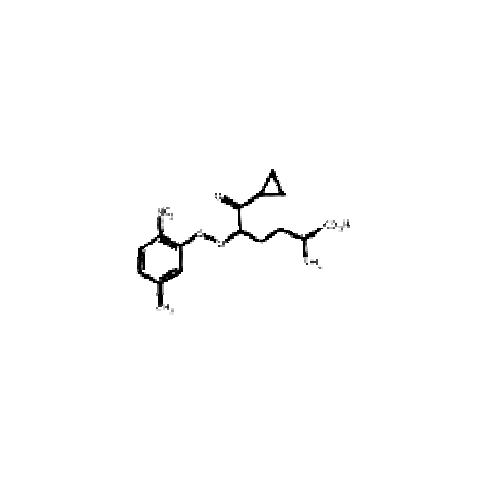 Cc1ccc([N+](=O)[O-])c(SOC(CCC(N)C(=O)O)C(=O)C2CC2)c1